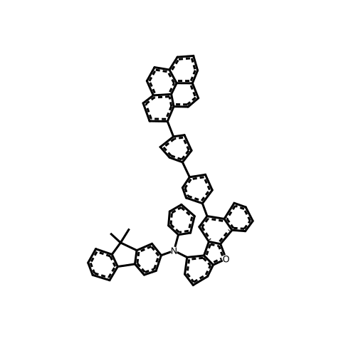 CC1(C)c2ccccc2-c2ccc(N(c3ccccc3)c3cccc4oc5c6ccccc6c(-c6ccc(-c7ccc(-c8ccc9ccc%10cccc%11ccc8c9c%10%11)cc7)cc6)cc5c34)cc21